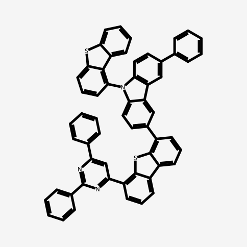 c1ccc(-c2ccc3c(c2)c2cc(-c4cccc5c4sc4c(-c6cc(-c7ccccc7)nc(-c7ccccc7)n6)cccc45)ccc2n3-c2cccc3sc4ccccc4c23)cc1